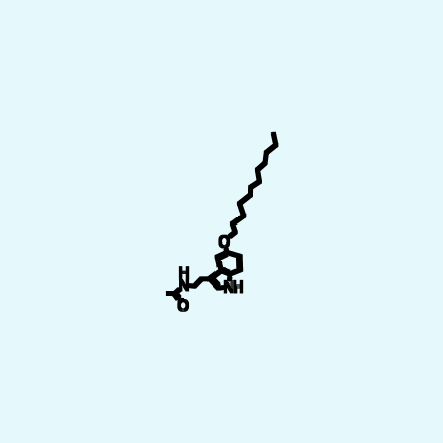 CCCCCCCCCCCCOc1ccc2[nH]cc(CCNC(C)=O)c2c1